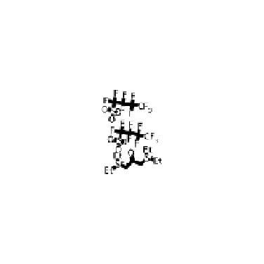 CC[S+](CC)CC(=O)C[S+](CC)CC.O=S(=O)([O-])C(F)(F)C(F)(F)C(F)(F)C(F)(F)F.O=S(=O)([O-])C(F)(F)C(F)(F)C(F)(F)C(F)(F)F